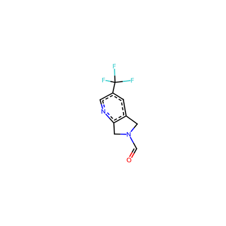 O=CN1Cc2cc(C(F)(F)F)cnc2C1